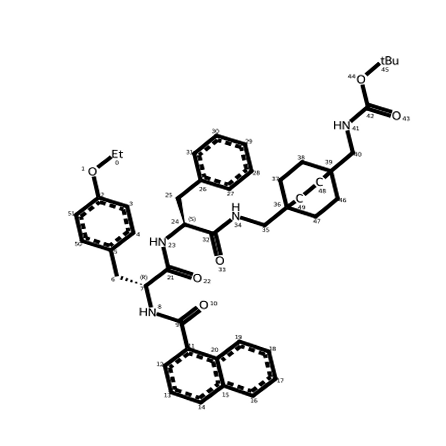 CCOc1ccc(C[C@@H](NC(=O)c2cccc3ccccc23)C(=O)N[C@@H](Cc2ccccc2)C(=O)NCC23CCC(CNC(=O)OC(C)(C)C)(CC2)CC3)cc1